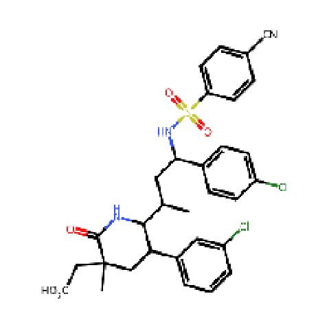 CC(CC(NS(=O)(=O)c1ccc(C#N)cc1)c1ccc(Cl)cc1)C1NC(=O)C(C)(CC(=O)O)CC1c1cccc(Cl)c1